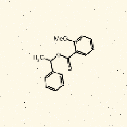 COc1ccccc1C(=O)OC(C)c1ccccc1